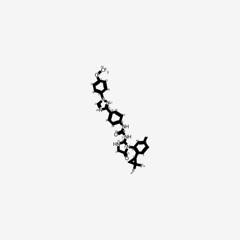 Cc1ccc(C2CC2(F)F)c(N2C(=O)CNC2NC(=O)Nc2ccc(-c3ncn(-c4ccc(OC(F)(F)F)cc4)n3)cc2)c1